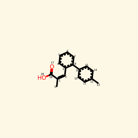 CC(=Cc1ccccc1-c1ccc(C)cc1)C(=O)O